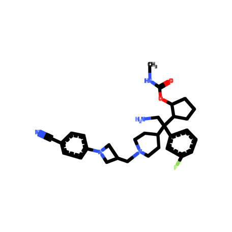 CNC(=O)OC1CCCC1C(CN)(c1cccc(F)c1)C1CCN(CC2CN(c3ccc(C#N)cc3)C2)CC1